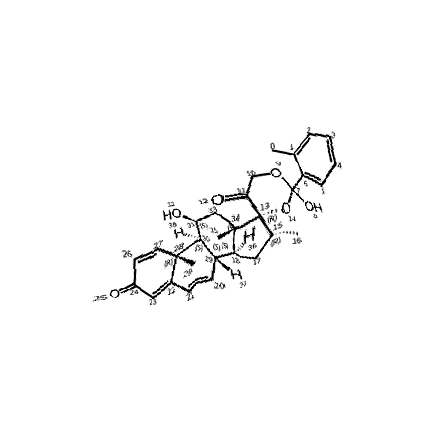 Cc1ccccc1C1(O)OCC(=O)[C@@]2(O1)[C@H](C)C[C@H]1[C@@H]3C=CC4=CC(=O)C=C[C@]4(C)[C@H]3[C@@H](O)C[C@@]12C